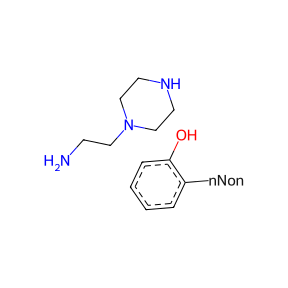 CCCCCCCCCc1ccccc1O.NCCN1CCNCC1